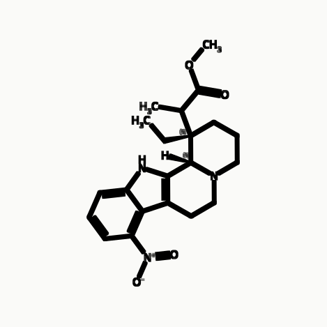 CC[C@@]1(C(C)C(=O)OC)CCCN2CCc3c([nH]c4cccc([N+](=O)[O-])c34)[C@@H]21